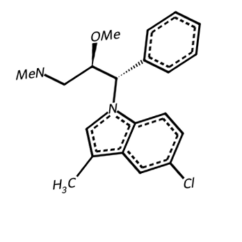 CNC[C@@H](OC)[C@H](c1ccccc1)n1cc(C)c2cc(Cl)ccc21